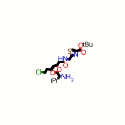 CC(C)C(N)C(=O)OC(C=CCCCl)CC(=O)NCc1nc(C(=O)OC(C)(C)C)cs1